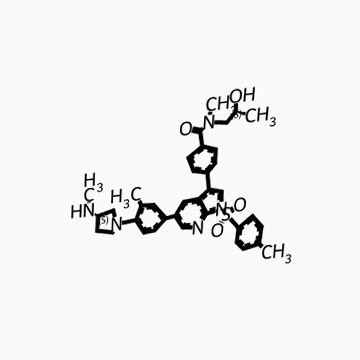 CN[C@H]1CCN(c2ccc(-c3cnc4c(c3)c(-c3ccc(C(=O)N(C)C[C@H](C)O)cc3)cn4S(=O)(=O)c3ccc(C)cc3)cc2C)C1